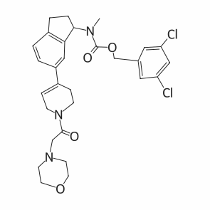 CN(C(=O)OCc1cc(Cl)cc(Cl)c1)C1CCc2ccc(C3=CCN(C(=O)CN4CCOCC4)CC3)cc21